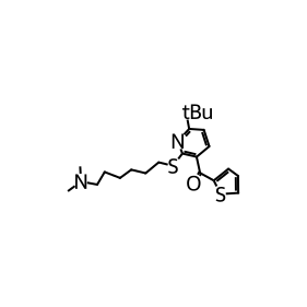 CN(C)CCCCCCSc1nc(C(C)(C)C)ccc1C(=O)c1cccs1